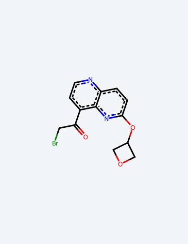 O=C(CBr)c1ccnc2ccc(OC3COC3)nc12